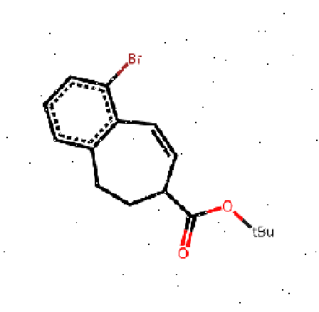 CC(C)(C)OC(=O)C1C=Cc2c(Br)cccc2CC1